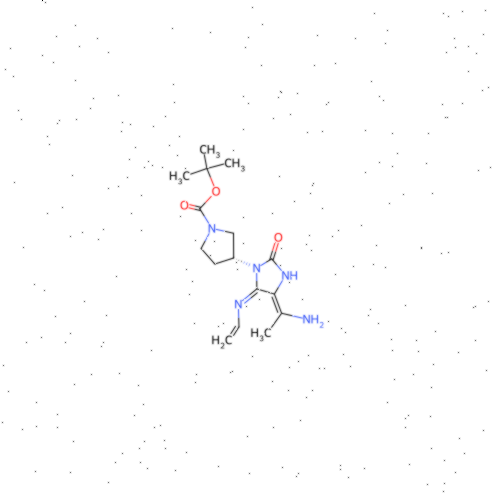 C=C/N=C1\C(=C(/C)N)NC(=O)N1[C@@H]1CCN(C(=O)OC(C)(C)C)C1